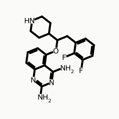 Nc1nc(N)c2c(OC(Cc3cccc(F)c3F)C3CCNCC3)cccc2n1